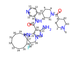 CN1CCC(C(=O)N2CCC(c3ccncc3NC(=O)c3c(N)nn4c3NC3(CCCCCCCCC3)C(F)C4)CC2)CC1